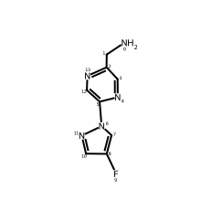 NCc1cnc(-n2cc(F)cn2)cn1